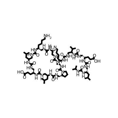 CNC(=O)NC[C@H](C)NC(=O)NC[C@H](CCCCN)NC(=O)NCC(CC(C)C)NC(=O)NC[C@H](CCC(=O)O)NC(=O)NCC(CC(C)C)NC(=O)NC[C@@H]1CCCN1C(=O)NC[C@H](CCCCN)NC(=O)NCC(NC(=O)NC[C@H](CCC(=O)O)NC(=O)NC[C@H](CC(C)C)NC(=O)NC(C)C)C(C)C